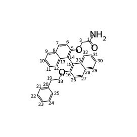 NC(=O)COc1ccc2ccccc2c1-c1c(OCCc2ccccc2)ccc2ccccc12